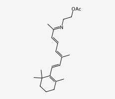 CC(=O)OCCN=C(C)C=CC=C(C)C=CC1=C(C)CCCC1(C)C